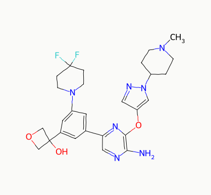 CN1CCC(n2cc(Oc3nc(-c4cc(N5CCC(F)(F)CC5)cc(C5(O)COC5)c4)cnc3N)cn2)CC1